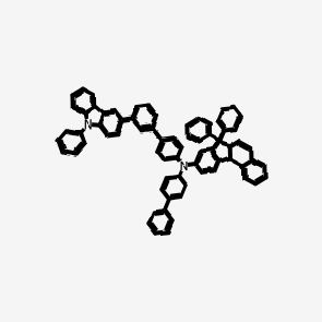 C1=CC(C2(c3ccccc3)c3cc(N(c4ccc(-c5cccc(-c6ccc7c(c6)c6ccccc6n7-c6ccccc6)c5)cc4)C4C=CC(c5ccccc5)=CC4)ccc3C3c4ccccc4C=CC32)=CCC1